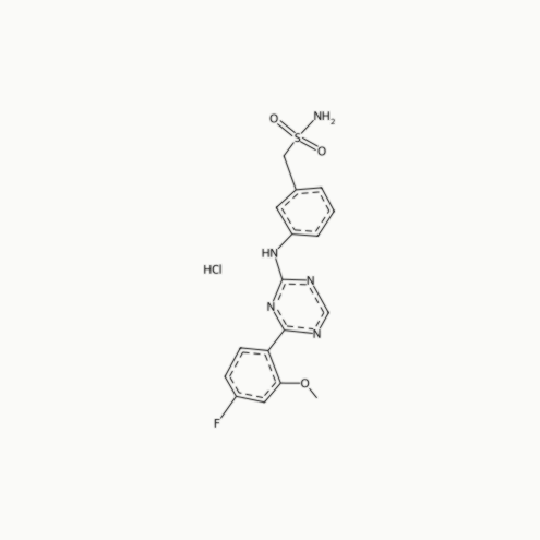 COc1cc(F)ccc1-c1ncnc(Nc2cccc(CS(N)(=O)=O)c2)n1.Cl